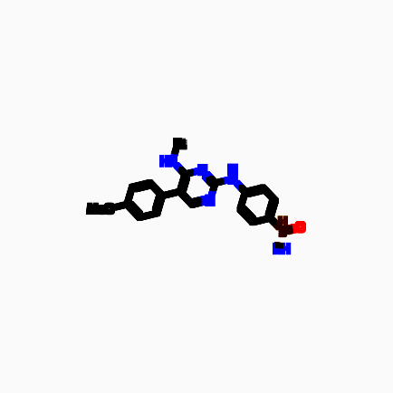 CCNc1nc(Nc2ccc([SH](=N)=O)cc2)ncc1-c1ccc(OC)cc1